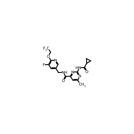 Cc1cc(C(=O)NCc2cnc(OCC(F)(F)F)c(F)c2)nc(NC(=O)C2CC2)n1